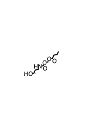 CCCC(=O)OCOC(=O)NCC[CH]O